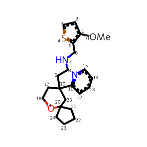 COc1ccsc1CNCCC1(c2ccccn2)CCOC2(CCCC2)C1